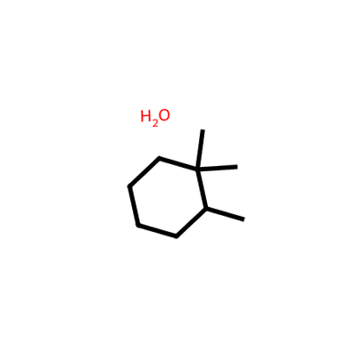 CC1CCCCC1(C)C.O